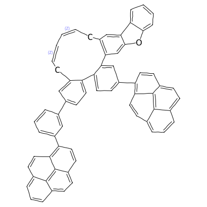 C1=C\Cc2cc(-c3cccc(-c4ccc5ccc6cccc7ccc4c5c67)c3)ccc2-c2ccc(-c3ccc4ccc5cccc6ccc3c4c56)cc2-c2cc3oc4ccccc4c3cc2C\C=C/1